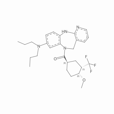 CCCN(CCC)c1ccc2c(c1)N(C(=O)[C@@H]1CC[C@@H](OC)[C@@H](C(F)(F)F)C1)Cc1cccnc1N2